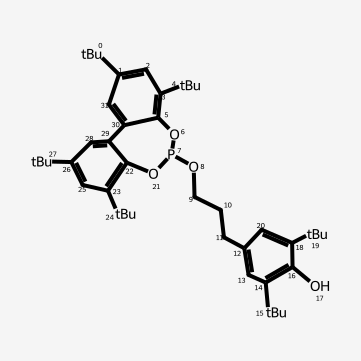 CC(C)(C)c1cc(C(C)(C)C)c2op(OCCCc3cc(C(C)(C)C)c(O)c(C(C)(C)C)c3)oc3c(C(C)(C)C)cc(C(C)(C)C)cc3c2c1